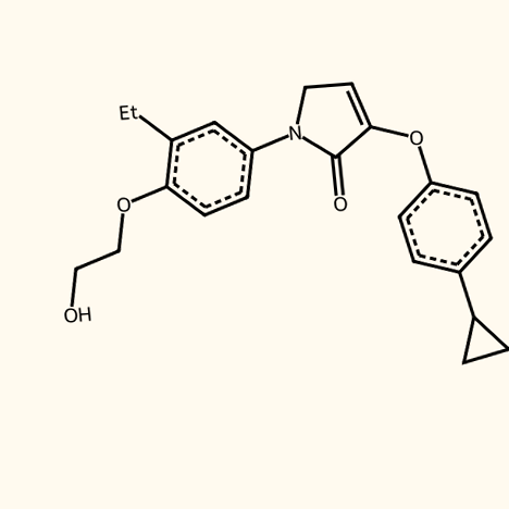 CCc1cc(N2CC=C(Oc3ccc(C4CC4)cc3)C2=O)ccc1OCCO